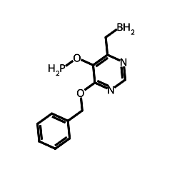 BCc1ncnc(OCc2ccccc2)c1OP